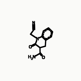 N#CCN1C(=O)C(C(N)=O)Cc2ccccc21